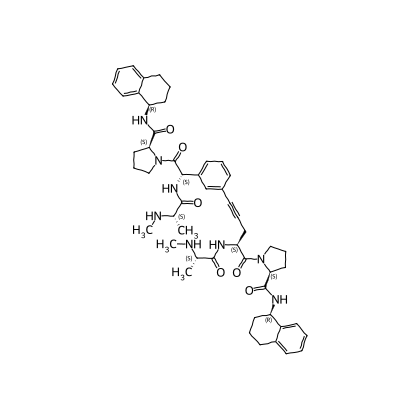 CN[C@@H](C)C(=O)N[C@@H](CC#Cc1cccc([C@H](NC(=O)[C@H](C)NC)C(=O)N2CCC[C@H]2C(=O)N[C@@H]2CCCc3ccccc32)c1)C(=O)N1CCC[C@H]1C(=O)N[C@@H]1CCCc2ccccc21